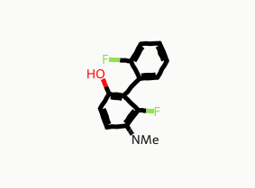 CNc1ccc(O)c(-c2ccccc2F)c1F